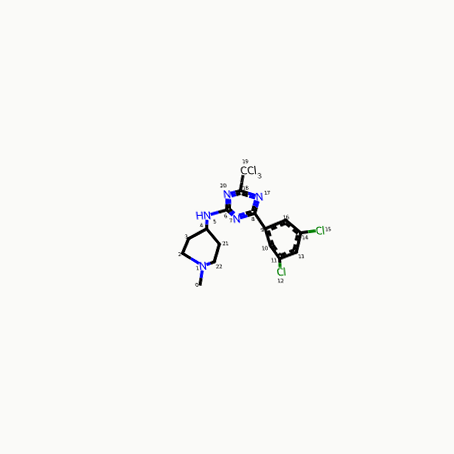 CN1CCC(Nc2nc(-c3cc(Cl)cc(Cl)c3)nc(C(Cl)(Cl)Cl)n2)CC1